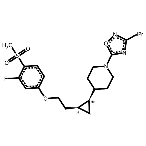 CC(C)c1noc(N2CCC([C@H]3C[C@H]3CCOc3ccc(S(C)(=O)=O)c(F)c3)CC2)n1